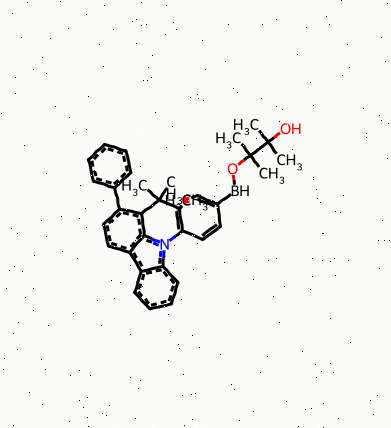 C/C=C(BOC(C)(C)C(C)(C)O)\C=C/C1=C(C)C(C)(C)c2c(-c3ccccc3)ccc3c4ccccc4n1c23